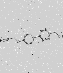 C#CCOc1ccc(-c2nnc(CO)nn2)cc1